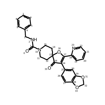 O=C(NCc1ccccc1)N1CCC2(CC1)OC(c1ccccn1)=C(c1ccc3c(c1)OCO3)C2=O